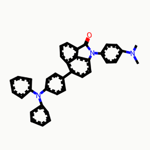 CN(C)c1ccc(N2C(=O)c3cccc4c(-c5ccc(N(c6ccccc6)c6ccccc6)cc5)ccc2c34)cc1